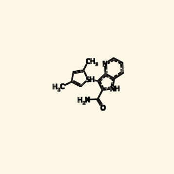 CC1=C[SH](c2c(C(N)=O)[nH]c3cccnc23)C(C)=C1